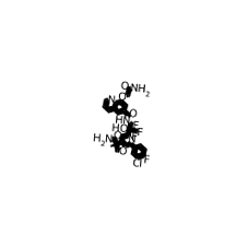 C[C@]1(C(N)=O)COc2c1cc(C(O)(CNC(=O)c1cc(OCC(N)=O)c3ncccc3c1)C(F)(F)F)nc2-c1ccc(F)c(Cl)c1